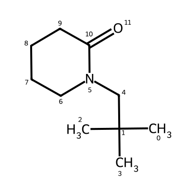 CC(C)(C)CN1CCCCC1=O